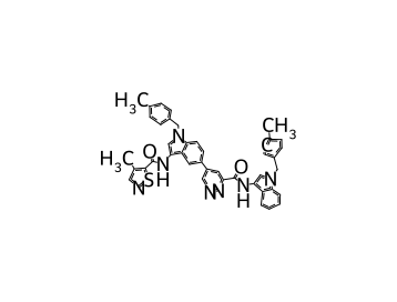 Cc1ccc(Cn2cc(NC(=O)c3cc(-c4ccc5c(c4)c(NC(=O)c4sncc4C)cn5Cc4ccc(C)cc4)cnn3)c3ccccc32)cc1